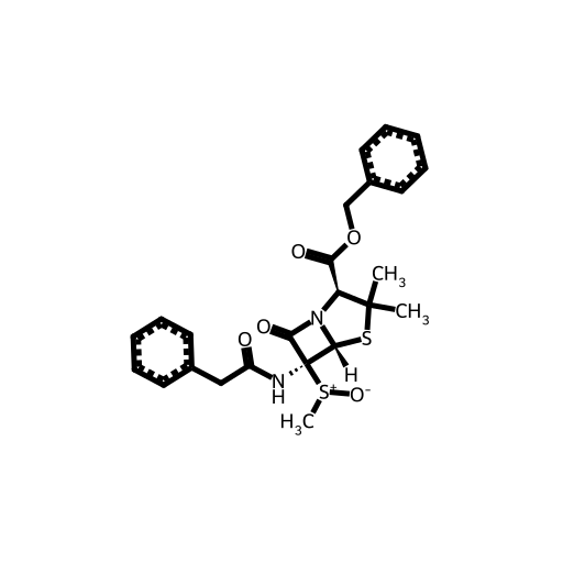 C[S+]([O-])[C@@]1(NC(=O)Cc2ccccc2)C(=O)N2[C@@H](C(=O)OCc3ccccc3)C(C)(C)S[C@@H]21